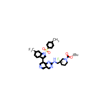 Cc1ccc(S(=O)(=O)n2cc(-c3cncc4cnc(NC[C@@]5(F)CCCN(C(=O)OC(C)(C)C)C5)nc34)c3ccc(C(F)(F)F)cc32)cc1